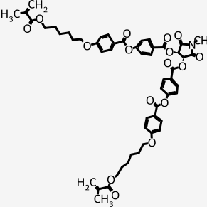 C=C(C)C(=O)OCCCCCCOc1ccc(C(=O)Oc2ccc(C(=O)O[C@H]3C(=O)N(C)C(=O)[C@@H]3OC(=O)c3ccc(OC(=O)c4ccc(OCCCCCCOC(=O)C(=C)C)cc4)cc3)cc2)cc1